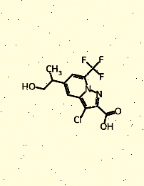 CC(CO)c1cc(C(F)(F)F)n2nc(C(=O)O)c(Cl)c2c1